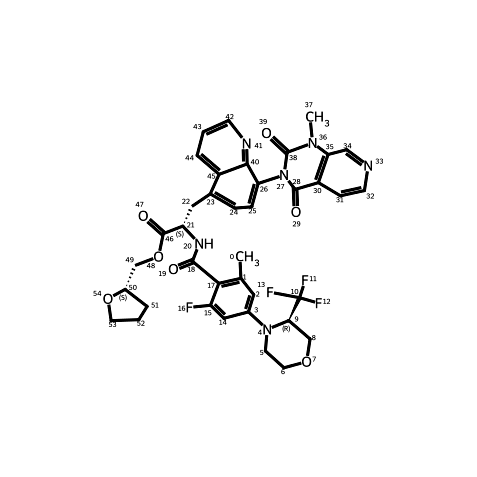 Cc1cc(N2CCOC[C@@H]2C(F)(F)F)cc(F)c1C(=O)N[C@@H](Cc1ccc(-n2c(=O)c3ccncc3n(C)c2=O)c2ncccc12)C(=O)OC[C@@H]1CCCO1